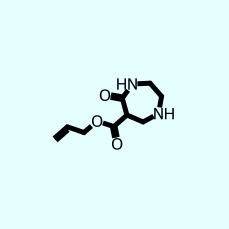 C=CCOC(=O)C1CNCCNC1=O